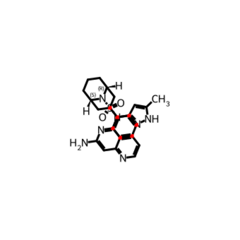 Cc1cc(N(c2nc(N)cc3ncccc23)C2C[C@H]3CCC[C@@H](C2)N3S(=O)(=O)c2ccccc2)n[nH]1